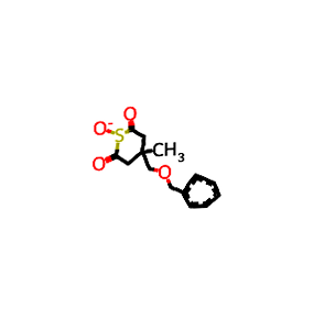 CC1(COCc2ccccc2)CC(=O)[S+]([O-])C(=O)C1